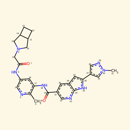 Cc1ncc(NC(=O)CN2CC3CCC3C2)cc1NC(=O)c1cnc2[nH]c(-c3cnn(C)c3)cc2c1